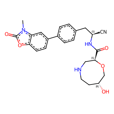 Cn1c(=O)oc2ccc(-c3ccc(C[C@@H](C#N)NC(=O)[C@@H]4CNCC[C@@H](O)CO4)cc3)cc21